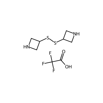 C1NCC1SSC1CNC1.O=C(O)C(F)(F)F